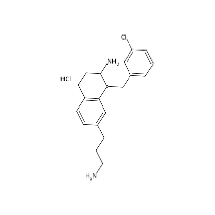 Cl.NCCCc1ccc2c(c1)C(Cc1cccc(Cl)c1)C(N)CC2